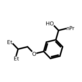 CCCC(O)c1cccc(OCC(CC)CC)c1